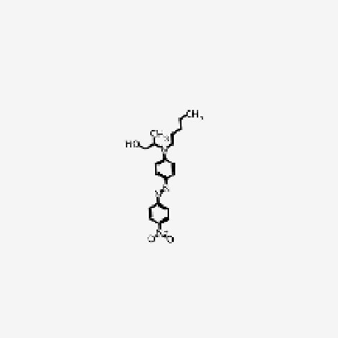 CCCCCN(c1ccc(N=Nc2ccc([N+](=O)[O-])cc2)cc1)C(C)CO